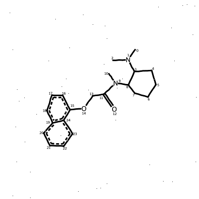 CN(C)C1CCCCC1N(C)C(=O)COc1cccc2ccccc12